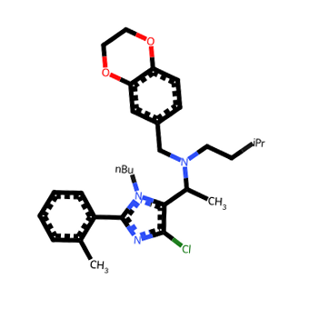 CCCCn1c(-c2ccccc2C)nc(Cl)c1C(C)N(CCC(C)C)Cc1ccc2c(c1)OCCO2